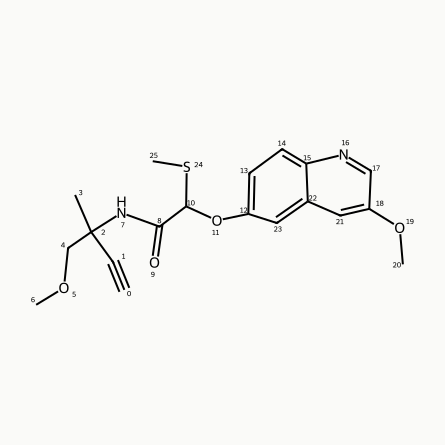 C#CC(C)(COC)NC(=O)C(Oc1ccc2ncc(OC)cc2c1)SC